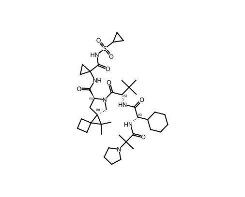 CC(C)(C)[C@H](NC(=O)[C@@H](NC(=O)C(C)(C)N1CCCC1)C1CCCCC1)C(=O)N1C[C@]2(C[C@H]1C(=O)NC1(C(=O)NS(=O)(=O)C3CC3)CC1)C(C)(C)C21CCC1